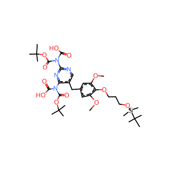 COc1cc(Cc2cnc(N(C(=O)O)C(=O)OC(C)(C)C)nc2N(C(=O)O)C(=O)OC(C)(C)C)cc(OC)c1OCCCO[Si](C)(C)C(C)(C)C